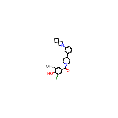 O=Cc1cc(C(=O)N2CCC(c3cccc(N4CC5(CCC5)C4)c3)CC2)cc(F)c1O